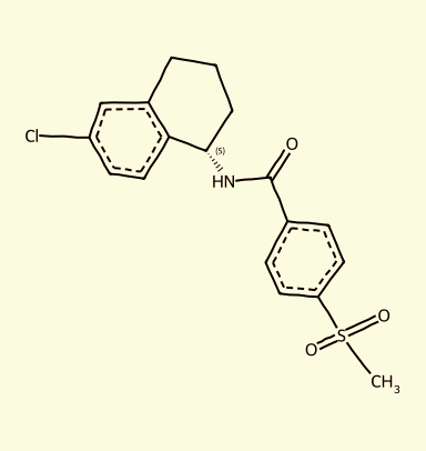 CS(=O)(=O)c1ccc(C(=O)N[C@H]2CCCc3cc(Cl)ccc32)cc1